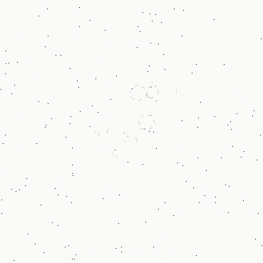 CC(C)(C)CN1C[C@H](C(=O)NO)[C@H](NC(=O)c2ccc(Cn3c(C(F)(F)F)nc4ccccc43)cc2)C1